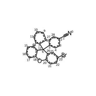 N#Cc1ccc(C2(c3ccccc3)c3ccccc3Oc3ccc(Br)cc32)cc1